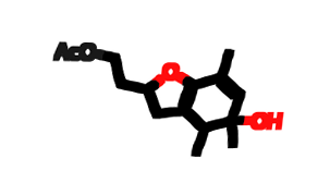 CC(=O)OCCC1CC2=C(O1)C(C)=CC(C)(O)C2C